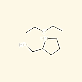 CCOCC.OCC1CCCN1